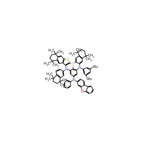 CC(C)(C)c1cc(N2c3cc4c(cc3B3c5sc6cc7c(cc6c5N(c5ccc6c(c5)C(C)(C)CCC6(C)C)c5cc(N(c6ccccc6)c6ccc8c(c6)oc6ccccc68)cc2c53)C(C)(C)CCC7(C)C)C(C)(C)CCC4(C)C)cc(C(C)(C)C)c1